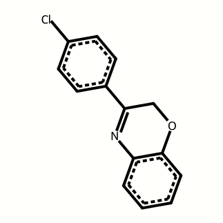 Clc1ccc(C2=Nc3ccccc3OC2)cc1